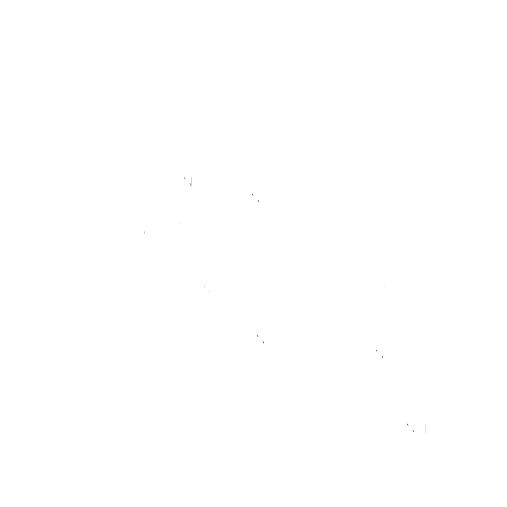 Cc1ccc(-n2cnc3c(sc4ncc(C(=O)N5CCNCC5)cc43)c2=O)cc1